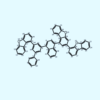 c1ccc(-c2cc(-c3ccc(-c4cc(-c5cccc6c5oc5ccccc56)cc5oc6ccccc6c45)c4ccccc34)cc(-c3cccc4oc5ccccc5c34)c2)cc1